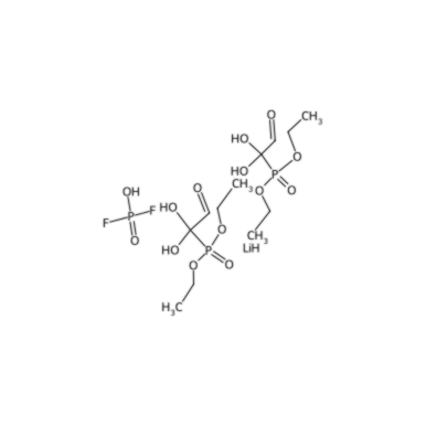 CCOP(=O)(OCC)C(O)(O)C=O.CCOP(=O)(OCC)C(O)(O)C=O.O=P(O)(F)F.[LiH]